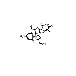 Cc1cn([C@H]2C[C@@](O)([C@@]3(n4ccc(N)nc4=O)O[C@H](CO)C[C@H]3O)[C@@H](CO)O2)c(=O)[nH]c1=O